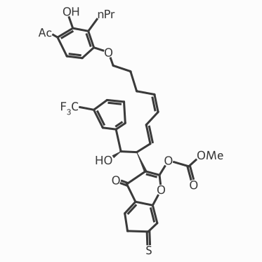 CCCc1c(OCCC/C=C\C=C\[C@@H](c2c(OC(=O)OC)oc3c(c2=O)=CCC(=S)C=3)[C@@H](O)c2cccc(C(F)(F)F)c2)ccc(C(C)=O)c1O